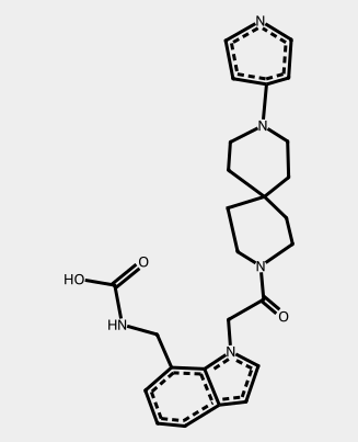 O=C(O)NCc1cccc2ccn(CC(=O)N3CCC4(CC3)CCN(c3ccncc3)CC4)c12